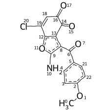 COc1ccc(C(=O)c2c(N)oc3c2C(=O)C(=O)C=C3Cl)cc1